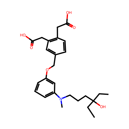 CCC(O)(CC)CCCN(C)c1cccc(OCc2ccc(CC(=O)O)c(CC(=O)O)c2)c1